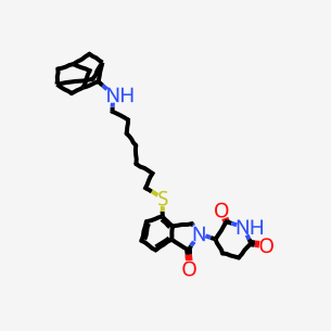 O=C1CCC(N2Cc3c(SCCCCCCCNC4C5CC6CC(C5)CC4C6)cccc3C2=O)C(=O)N1